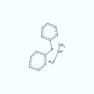 [CH3][Ga+][CH3].c1ccc([P-]c2ccccc2)cc1